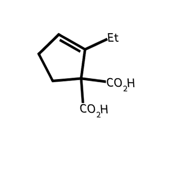 CCC1=CCCC1(C(=O)O)C(=O)O